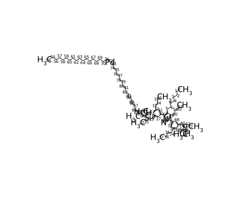 CCCCCCCCC1=C(c2cc(CCCC)cc(C[Si](CC)(CC)CC)c2)[N+](=[N-])C(c2cc(CCCC)cc(C[Si](CC)(CC)CC)c2)=C1CCCC.CCCCCCCCCCCCCCCCC[CH2][Pd][CH2]CCCCCCCCCCCCCCCCC